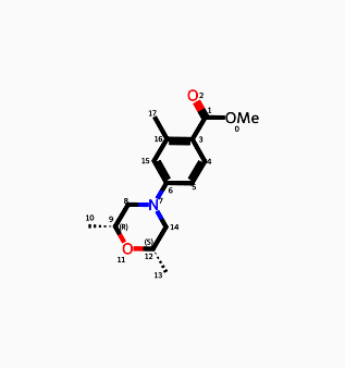 COC(=O)c1ccc(N2C[C@@H](C)O[C@@H](C)C2)cc1C